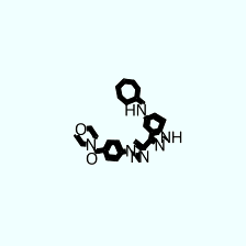 O=C(c1ccc(-n2cc(-c3n[nH]c4ccc(NCC5CCCCCC5)cc34)nn2)cc1)N1CCOCC1